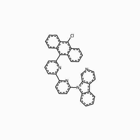 Clc1c2ccccc2c(-c2cccc(-c3cccc(-n4c5ccccc5c5ccncc54)n3)n2)c2ccccc12